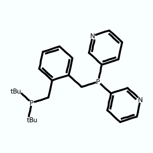 CC(C)(C)P(Cc1ccccc1CP(c1cccnc1)c1cccnc1)C(C)(C)C